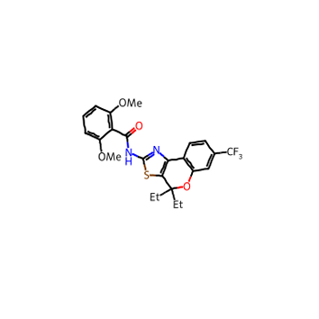 CCC1(CC)Oc2cc(C(F)(F)F)ccc2-c2nc(NC(=O)c3c(OC)cccc3OC)sc21